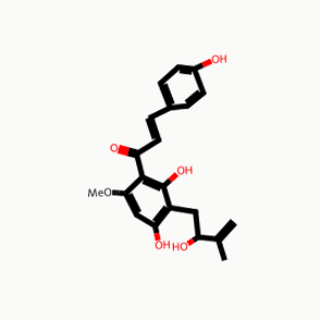 C=C(C)C(O)Cc1c(O)cc(OC)c(C(=O)/C=C/c2ccc(O)cc2)c1O